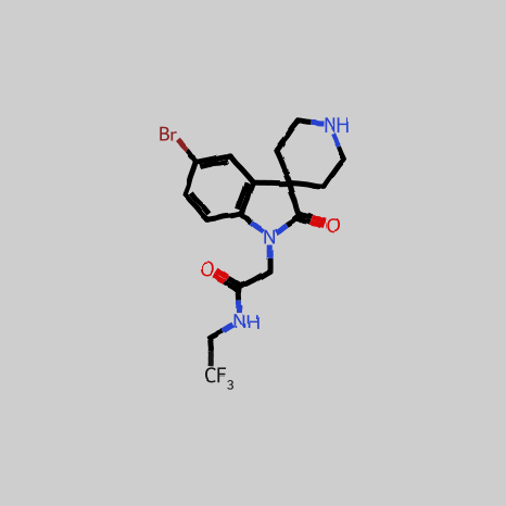 O=C(CN1C(=O)C2(CCNCC2)c2cc(Br)ccc21)NCC(F)(F)F